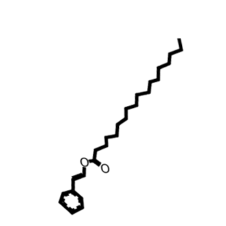 CCCCCCCCCCCCCCCCCC(=O)OC=Cc1ccccc1